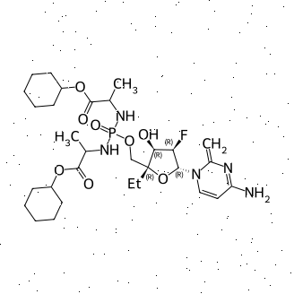 C=C1N=C(N)C=CN1[C@@H]1O[C@](CC)(COP(=O)(NC(C)C(=O)OC2CCCCC2)NC(C)C(=O)OC2CCCCC2)[C@@H](O)[C@H]1F